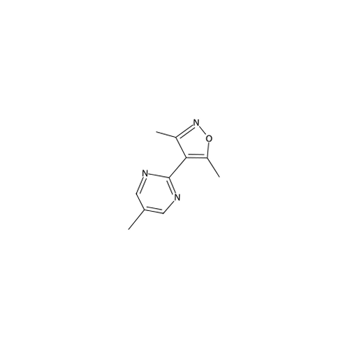 Cc1cnc(-c2c(C)noc2C)nc1